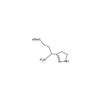 CCCCCCC[CH]([InH2])C1=NNCC1